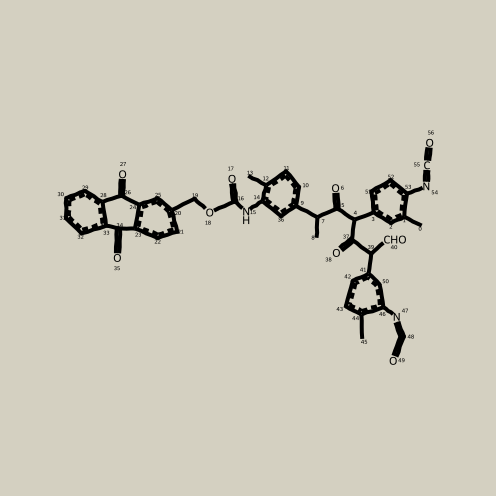 Cc1cc(C(C(=O)C(C)c2ccc(C)c(NC(=O)OCc3ccc4c(c3)C(=O)c3ccccc3C4=O)c2)C(=O)C(C=O)c2ccc(C)c(N=C=O)c2)ccc1N=C=O